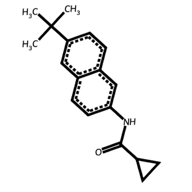 CC(C)(C)c1ccc2cc(NC(=O)C3CC3)ccc2c1